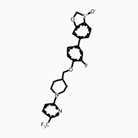 [O-][S+]1COc2cc(-c3ccc(OCC4CCN(c5ccc(C(F)(F)F)cn5)CC4)c(F)c3)ccc21